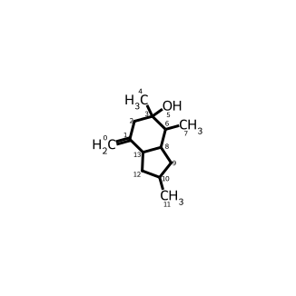 C=C1CC(C)(O)C(C)C2CC(C)CC12